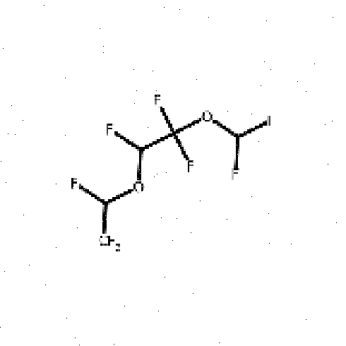 FC(F)OC(F)(F)C(F)OC(F)C(F)(F)F